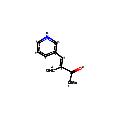 COC(=O)/C(C=O)=C/c1cccnc1